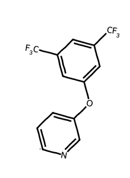 FC(F)(F)c1cc(Oc2cc[c]nc2)cc(C(F)(F)F)c1